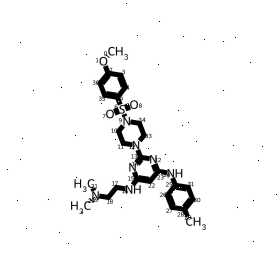 COc1ccc(S(=O)(=O)N2CCN(c3nc(NCCN(C)C)cc(Nc4ccc(C)cc4)n3)CC2)cc1